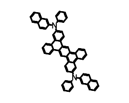 c1ccc(N(c2ccc3ccccc3c2)c2ccc3c(c2)c2ccccc2c2cc4c5ccc(N(c6ccccc6)c6ccc7ccccc7c6)cc5c5ccccc5c4cc32)cc1